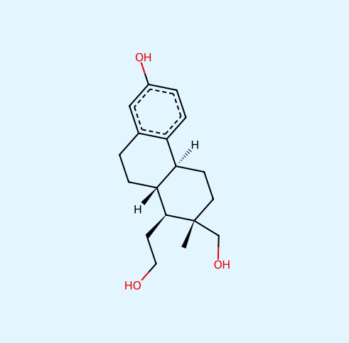 C[C@]1(CO)CC[C@@H]2c3ccc(O)cc3CC[C@H]2[C@@H]1CCO